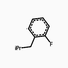 CC(C)Cc1[c]cccc1F